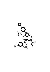 C=CC(=O)N1CCc2nn(-c3ccc(C4CCC4)cc3OC(C)=O)c3c2[C@H](C1)N(C(=O)c1cnc(Br)cc1N)CC3